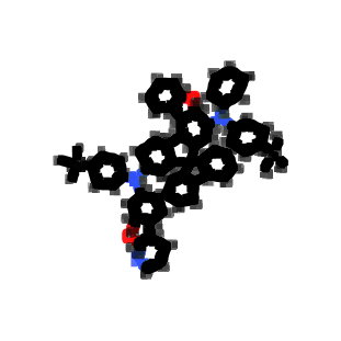 C[Si](C)(C)c1ccc(N(c2ccc3c(c2)C2(c4ccccc4-c4ccccc42)c2cc(N(c4ccccc4)c4ccc([Si](C)(C)C)cc4)c4oc5ccccc5c4c2-3)c2ccc3c(c2)oc2ncccc23)cc1